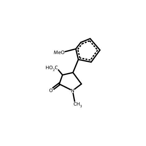 COc1ccccc1C1CN(C)C(=O)C1C(=O)O